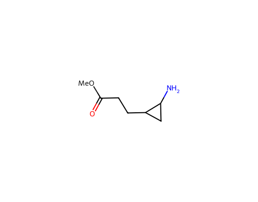 COC(=O)CCC1CC1N